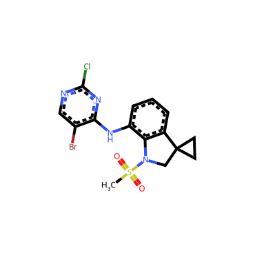 CS(=O)(=O)N1CC2(CC2)c2cccc(Nc3nc(Cl)ncc3Br)c21